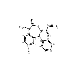 C=CC(=O)N1CC(=O)N(C)c2ccc(Cl)cc2C1c1ccccc1